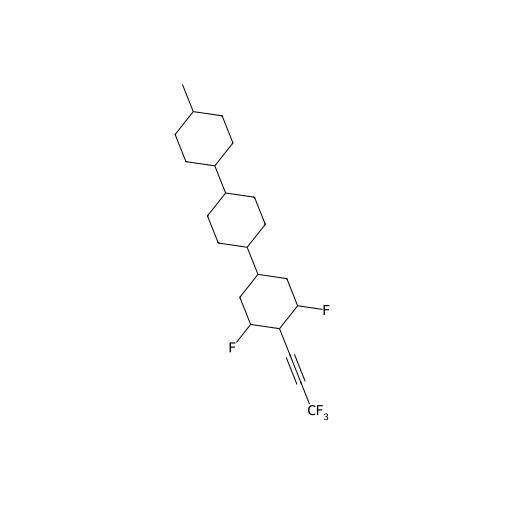 CC1CCC(C2CCC(C3CC(F)C(C#CC(F)(F)F)C(F)C3)CC2)CC1